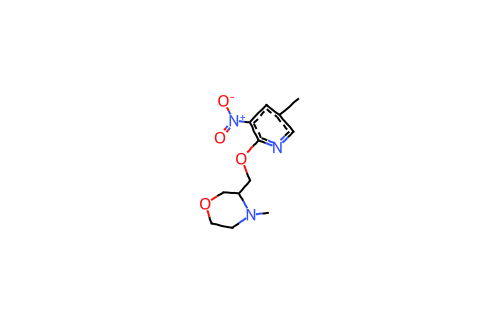 Cc1cnc(OCC2COCCN2C)c([N+](=O)[O-])c1